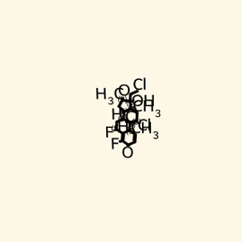 C[C@@H]1C[C@H]2[C@@H]3C[C@H](F)C4=C(F)C(=O)C=C[C@]4(C)[C@@]3(Cl)[C@@H](Cl)C[C@]2(C)[C@@]1(O)C(=O)CCl